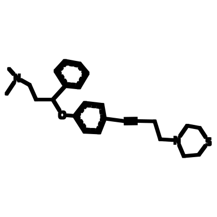 CN(C)CCC(Oc1ccc(C#CCCN2CCSCC2)cc1)c1ccccc1